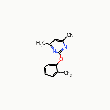 Cc1cc(C#N)nc(Oc2ccccc2C(F)(F)F)n1